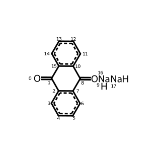 O=C1c2ccccc2C(=O)c2ccccc21.[NaH].[NaH]